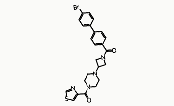 O=C(c1ccc(-c2ccc(Br)cc2)cc1)N1CC(N2CCN(C(=O)c3cscn3)CC2)C1